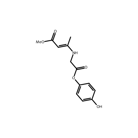 COC(=O)C=C(C)NCC(=O)Oc1ccc(O)cc1